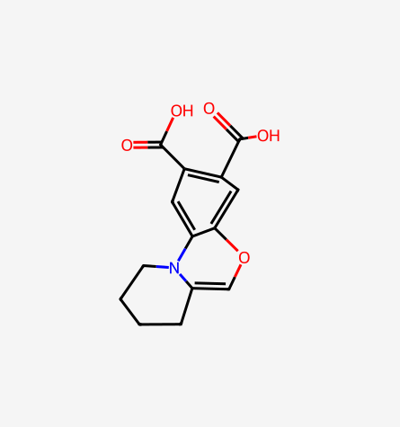 O=C(O)c1cc2c(cc1C(=O)O)N1CCCCC1=CO2